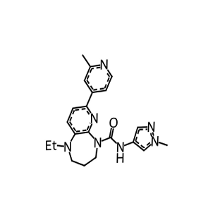 CCN1CCCN(C(=O)Nc2cnn(C)c2)c2nc(-c3ccnc(C)c3)ccc21